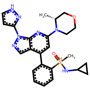 C[C@@H]1COCCN1c1cc(-c2ccccc2[SH](C)(=O)NC2CC2)c2cnn(-c3cc[nH]n3)c2n1